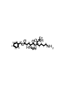 CCNC(=O)C(CCCCN)NC(=O)C(CCC(=O)OCc1ccccc1)NC(C)C